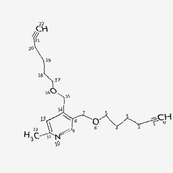 C#CCCCCOCc1cnc(C)cc1COCCCCC#C